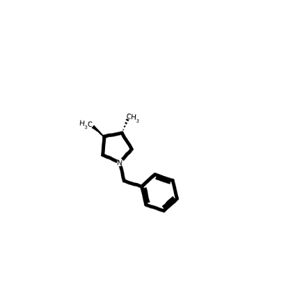 C[C@@H]1CN(Cc2ccccc2)C[C@H]1C